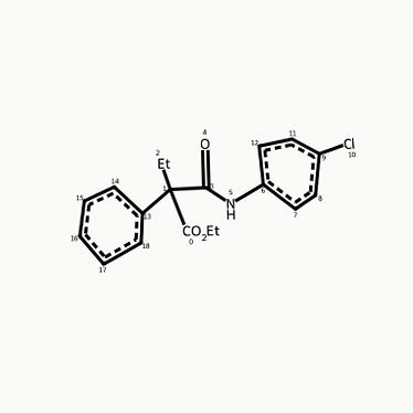 CCOC(=O)C(CC)(C(=O)Nc1ccc(Cl)cc1)c1ccccc1